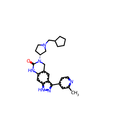 Cc1cc(-c2n[nH]c3cc4c(cc23)CN([C@@H]2CCN(CC3CCCC3)C2)C(=O)N4)ccn1